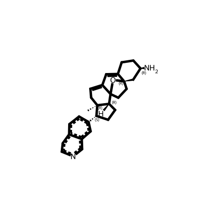 C[C@]12CC=C3C=C4CC[C@@H](N)C[C@]45CCC3(O5)[C@@H]1CC[C@@H]2c1ccc2ccncc2c1